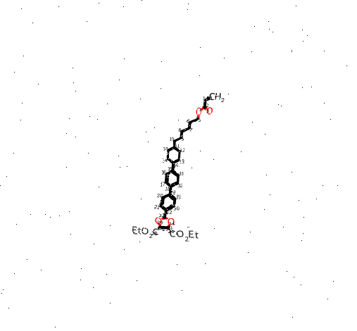 C=CC(=O)OCCCCCCC1CCC(c2ccc(-c3ccc(C4O[C@H](C(=O)OCC)[C@@H](C(=O)OCC)O4)cc3)cc2)CC1